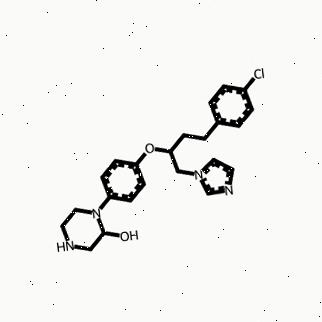 OC1CNCCN1c1ccc(OC(CCc2ccc(Cl)cc2)Cn2ccnc2)cc1